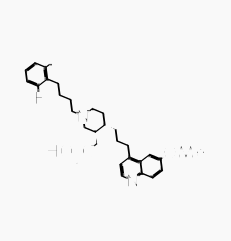 COc1ccc2nccc(CCC[C@@H]3CCN(CCCCc4c(F)cccc4F)C[C@@H]3CC(=O)O)c2c1